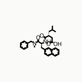 CC(C)C[C@H](CC(=O)O)C(=O)N[C@@H](Cc1ccc2ccccc2c1)C(=O)N(C)Cc1ccccc1